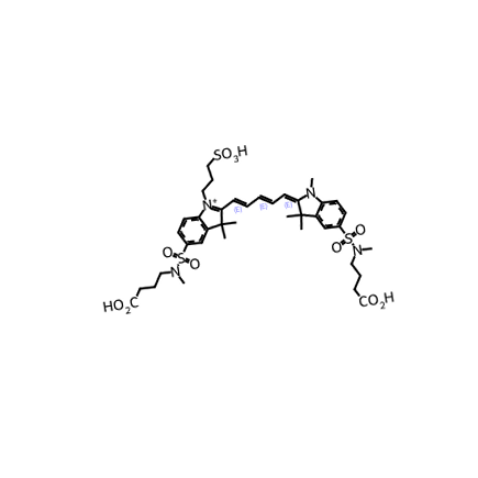 CN1/C(=C/C=C/C=C/C2=[N+](CCCS(=O)(=O)O)c3ccc(S(=O)(=O)N(C)CCCC(=O)O)cc3C2(C)C)C(C)(C)c2cc(S(=O)(=O)N(C)CCCC(=O)O)ccc21